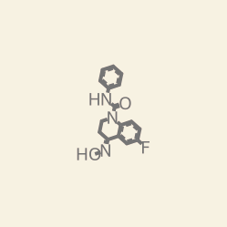 O=C(Nc1ccccc1)N1CCC(=NO)c2cc(F)ccc21